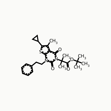 Cc1c(C2CC2)sc2c1c(=O)n(C(C)(C)C(=O)OC(C)(C)C)c(=O)n2CCc1ccccc1